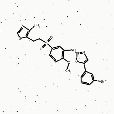 COc1ccc(S(=O)(=O)CCc2scnc2C)cc1Nc1ncc(-c2cccc(Br)c2)o1